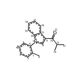 Cc1ccncc1-n1cc(C(=O)C(C)C)c2ccccc21